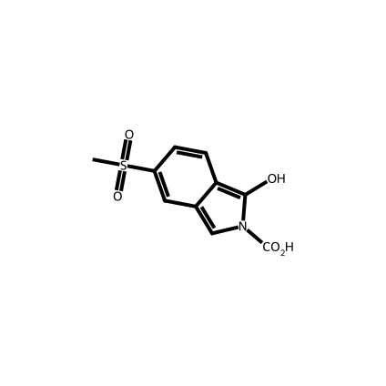 CS(=O)(=O)c1ccc2c(O)n(C(=O)O)cc2c1